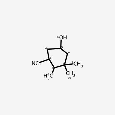 CC1C(C#N)CC(O)CC1(C)C